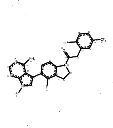 CCCn1cc(-c2ccc3c(c2F)CCN3C(=O)Cc2cc(C(F)(F)F)ccc2F)c2c(N)ncnc21